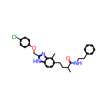 Cc1c(CCC(C)C(=O)NCCc2ccccc2)ccc2[nH]c(COc3ccc(Cl)cc3)nc12